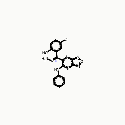 N/N=C(\c1cc(Cl)ccc1O)c1nc2nonc2nc1Nc1ccccc1